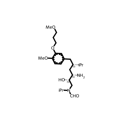 COCCCOc1cc(C[C@@H](C[C@H](N)[C@@H](O)CN(C=O)C(C)C)C(C)C)ccc1OC